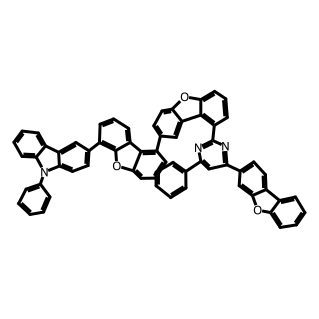 c1ccc(-c2cc(-c3ccc4c(c3)oc3ccccc34)nc(-c3cccc4oc5ccc(-c6cccc7oc8c(-c9ccc%10c(c9)c9ccccc9n%10-c9ccccc9)cccc8c67)cc5c34)n2)cc1